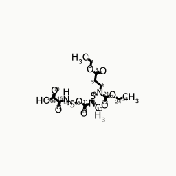 CCOC(=O)CCN(SN(C)C(=O)OSNC(=O)C(=O)O)C(=O)OCC